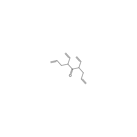 C=CCC(C=C)C(=O)C(C=C)CC=C